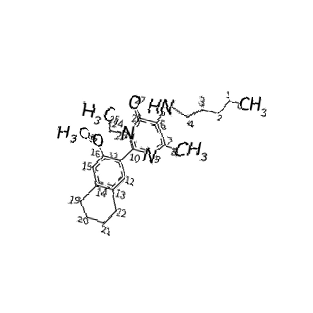 CCCCCNc1c(C)nc(-c2cc3c(cc2OC)CCCC3)n(CC)c1=O